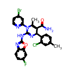 CC1=C(C(N)=O)C(c2ccc(C)cc2Cl)N=C(Nc2nc3ccc(F)cc3o2)N1c1cc(Br)ccn1